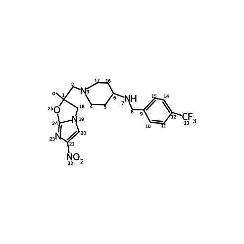 CC1(CN2CCC(NCc3ccc(C(F)(F)F)cc3)CC2)Cn2cc([N+](=O)[O-])nc2O1